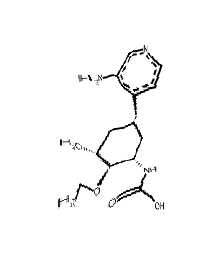 CCO[C@H]1[C@H](C)C[C@@H](c2ccncc2N)C[C@@H]1NC(=O)O